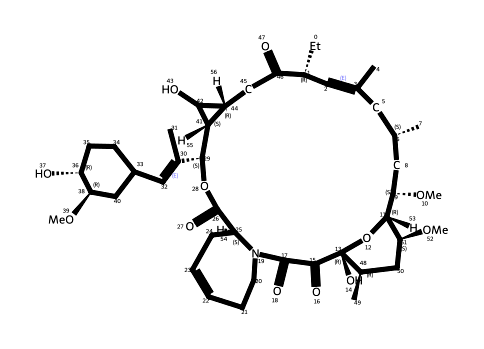 CC[C@@H]1/C=C(\C)C[C@H](C)C[C@H](OC)[C@H]2O[C@@](O)(C(=O)C(=O)N3CCC=CC[C@H]3C(=O)O[C@H](/C(C)=C/C3CC[C@@H](O)[C@H](OC)C3)[C@@H]3C(O)[C@@H]3CC1=O)[C@H](C)C[C@@H]2OC